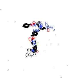 CCn1cc(C(=O)O)c(=O)c2cc(F)c(N3CCN(C(=O)OCc4ccc(NC[C@H](CCCNC(N)=O)n5cc([C@@H](NC(=O)OCc6ccccc6)C(C)(C)C)nn5)cc4)CC3)cc21